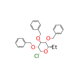 CC[C@H]1O[C@H](Cl)[C@H](OCc2ccccc2)[C@@H](OCc2ccccc2)[C@@H]1OCc1ccccc1